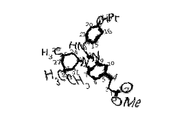 COC(=O)CCc1ccc2c(c1)nc(Nc1ccc(OC(C)C)cc1)n2C1CC(C)CC(C)(C)C1